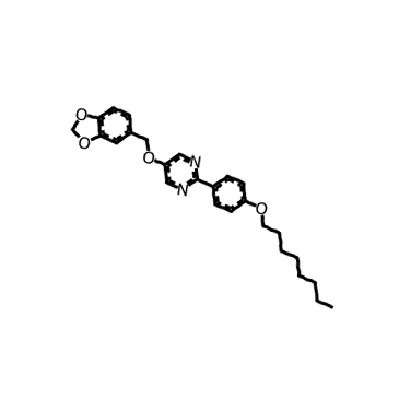 CCCCCCCCOc1ccc(-c2ncc(OCc3ccc4c(c3)OCO4)cn2)cc1